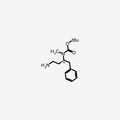 CN(C(=O)OC(C)(C)C)[C@H](CCN)Cc1ccccc1